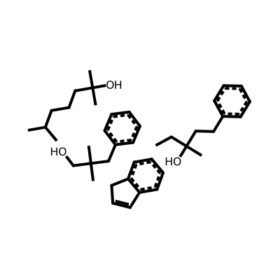 C1=Cc2ccccc2C1.CC(C)(CO)Cc1ccccc1.CC(C)CCCC(C)(C)O.CCC(C)(O)CCc1ccccc1